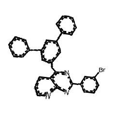 Brc1cccc(-c2nc(-c3cc(-c4ccccc4)cc(-c4ccccc4)c3)c3cccnc3n2)c1